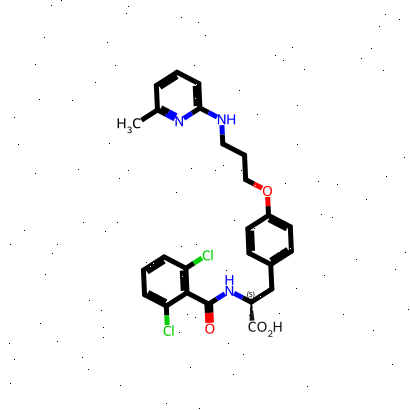 Cc1cccc(NCCCOc2ccc(C[C@H](NC(=O)c3c(Cl)cccc3Cl)C(=O)O)cc2)n1